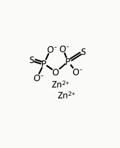 [O-]P([O-])(=S)OP([O-])([O-])=S.[Zn+2].[Zn+2]